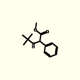 COC(=O)C(NC(C)(C)C)c1ccccc1